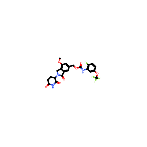 COc1cc(COC(=O)Nc2cc(OC(F)(F)F)ccc2F)cc2c1CN(C1CCC(=O)NC1=O)C2=O